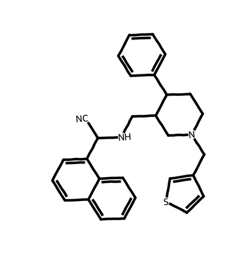 N#CC(NCC1CN(Cc2ccsc2)CCC1c1ccccc1)c1cccc2ccccc12